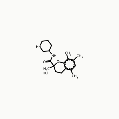 Cc1cc(C)c2c(c1C)OC(C)(C(=O)N[C@@H]1CCCNC1)CC2.Cl